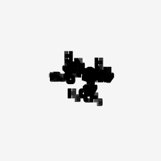 CC1(C)CCN(c2cc(NC3=NCCN3)cc(-c3cnc4[nH]cc(C(=O)C(C)(C)C)c4n3)c2)C1